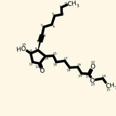 CCCCCCC#C[C@@H]1C(O)CC(=O)C1CCCCCCC(=O)OCC